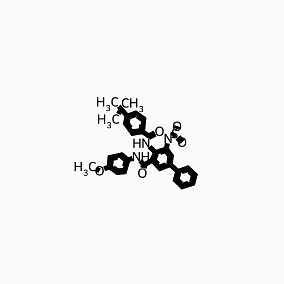 COc1ccc(NC(=O)c2cc(-c3ccccc3)cc(N=S(=O)=O)c2NC(=O)c2ccc(C(C)(C)C)cc2)cc1